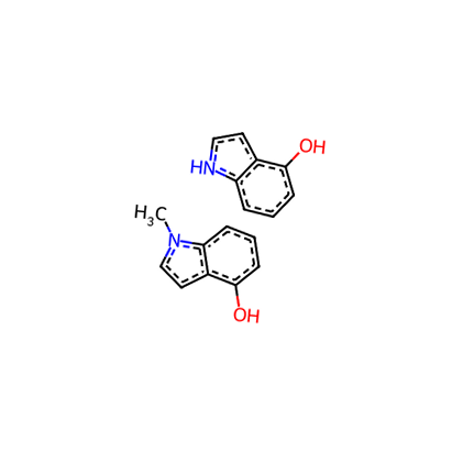 Cn1ccc2c(O)cccc21.Oc1cccc2[nH]ccc12